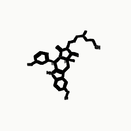 C=C1N(CCCN(C)CCO)C(=O)[C@]2(C)Cc3c([nH]c4ccc(OCC)cc34)[C@@H](c3cccc(O)c3)N12